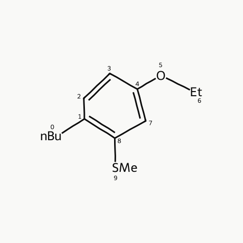 CCCCc1ccc(OCC)cc1SC